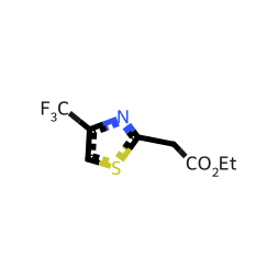 CCOC(=O)Cc1nc(C(F)(F)F)cs1